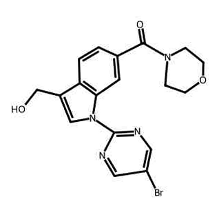 O=C(c1ccc2c(CO)cn(-c3ncc(Br)cn3)c2c1)N1CCOCC1